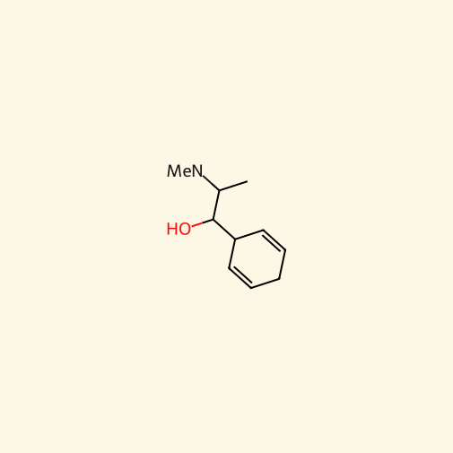 CNC(C)C(O)C1C=CCC=C1